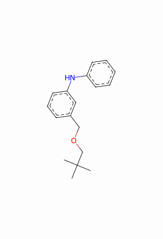 CC(C)(C)COCc1cccc(Nc2ccccc2)c1